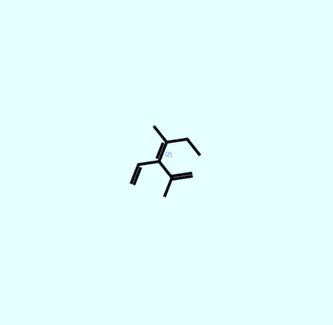 C=C/C(C(=C)C)=C(\C)CC